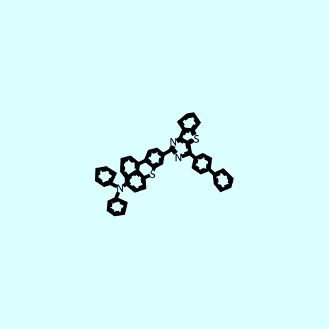 c1ccc(-c2ccc(-c3nc(-c4ccc5c(c4)Sc4ccc(N(c6ccccc6)c6ccccc6)c6cccc-5c46)nc4c3sc3ccccc34)cc2)cc1